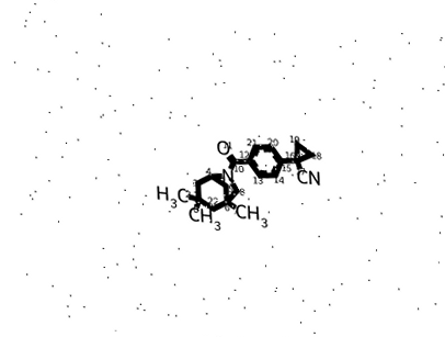 CC1(C)CC2CC(C)(CN2C(=O)c2ccc(C3(C#N)CC3)cc2)C1